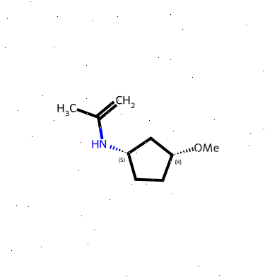 C=C(C)N[C@H]1CC[C@@H](OC)C1